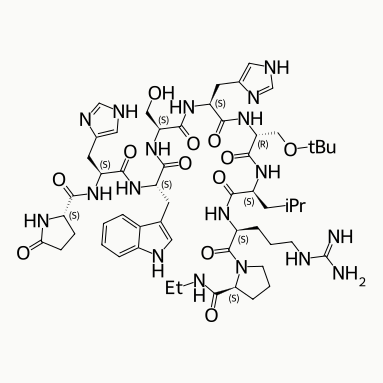 CCNC(=O)[C@@H]1CCCN1C(=O)[C@H](CCCNC(=N)N)NC(=O)[C@H](CC(C)C)NC(=O)[C@@H](COC(C)(C)C)NC(=O)[C@H](Cc1c[nH]cn1)NC(=O)[C@H](CO)NC(=O)[C@H](Cc1c[nH]c2ccccc12)NC(=O)[C@H](Cc1c[nH]cn1)NC(=O)[C@@H]1CCC(=O)N1